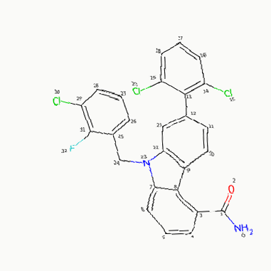 NC(=O)c1cccc2c1c1[c]cc(-c3c(Cl)cccc3Cl)cc1n2Cc1cccc(Cl)c1F